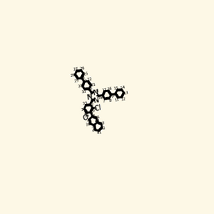 Clc1c(-c2nc(-c3ccc(-c4ccccc4)cc3)nc(-c3ccc(-c4ccccc4)cc3)n2)ccc2oc3cc4ccccc4cc3c12